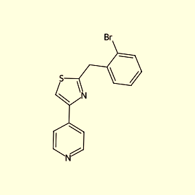 Brc1ccccc1Cc1nc(-c2ccncc2)cs1